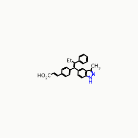 CCC(=C(c1ccc(C=CC(=O)O)cc1)c1ccc2[nH]nc(C)c2c1)c1ccccc1